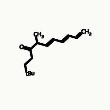 C=CC=CC=CC(C)C(=O)CCC(C)(C)C